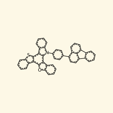 c1ccc2c(c1)-c1cccc3c(-c4ccc(-n5c6ccccc6c6c7sc8ccccc8c7c7oc8ccccc8c7c65)cc4)ccc-2c13